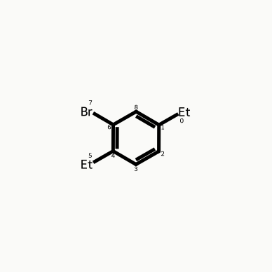 CCc1ccc(CC)c(Br)c1